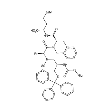 CSCC[C@H](NC(=O)[C@H]1Cc2ccccc2CN1C(=O)[C@H](C(C)C)N(CC(CSC(c1ccccc1)(c1ccccc1)c1ccccc1)NC(=O)OC(C)(C)C)C(C)=O)C(=O)O